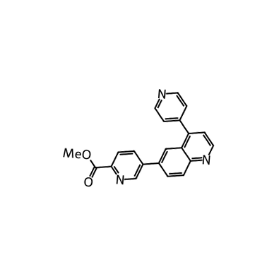 COC(=O)c1ccc(-c2ccc3nccc(-c4ccncc4)c3c2)cn1